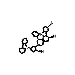 N#Cc1ccc2c(c1)c1c(C#N)cccc1n2-c1ccccc1C1=CC=CC=C(c2cc(-n3c4ccccc4c4ccccc43)ccc2C#N)C1